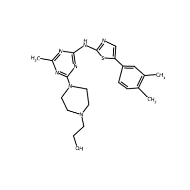 Cc1nc(Nc2ncc(-c3ccc(C)c(C)c3)s2)nc(N2CCN(CCO)CC2)n1